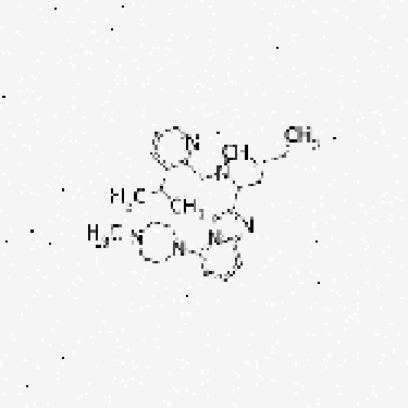 CCCCC(c1cn2c(N3CCN(C)CC3)cccc2n1)N(C)Cc1ncccc1C(C)C